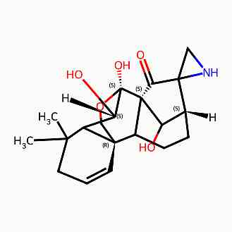 CC1(C)CC=C[C@]23CO[C@](O)([C@@H](O)C12)[C@]12C(=O)C4(CN4)[C@H](CCC31)C2O